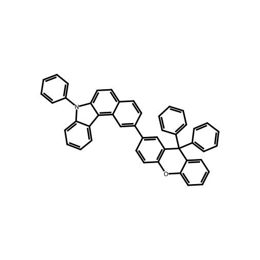 c1ccc(-n2c3ccccc3c3c4cc(-c5ccc6c(c5)C(c5ccccc5)(c5ccccc5)c5ccccc5O6)ccc4ccc32)cc1